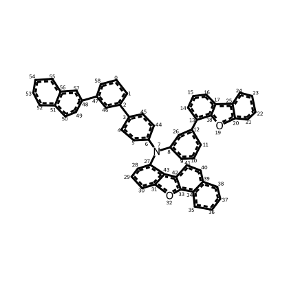 c1cc(-c2ccc(N(c3cccc(-c4cccc5c4oc4ccccc45)c3)c3cccc4oc5c6ccccc6ccc5c34)cc2)cc(-c2ccc3ccccc3c2)c1